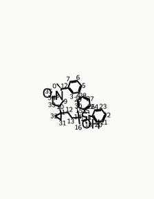 C[C@@H](c1ccccc1)N1C[C@@H](C2(CCC(C)(C)[Si](O)(c3ccccc3)c3ccccc3)CC2)CC1=O